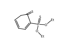 CCOP(=S)(OCC)C1=CC=CCC1=S